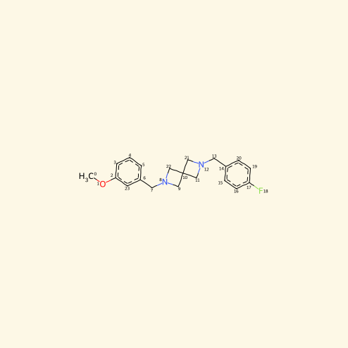 COc1cccc(CN2CC3(CN(Cc4ccc(F)cc4)C3)C2)c1